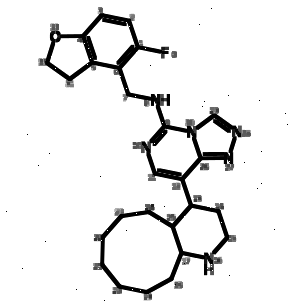 Fc1ccc2c(c1CNc1ncc(C3CCNC4CCCCCCCC43)c3nncn13)CCO2